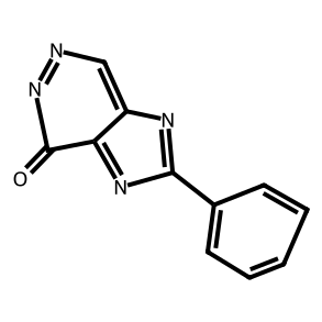 O=C1N=NC=C2N=C(c3ccccc3)N=C12